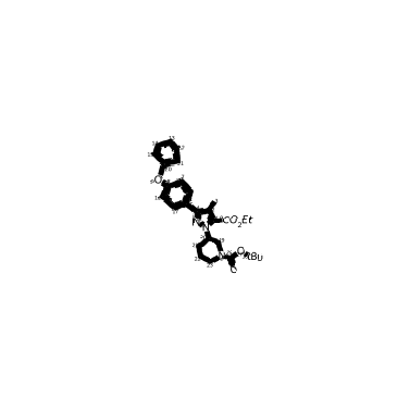 CCOC(=O)c1c(C)c(-c2ccc(Oc3ccccc3)cc2)nn1C1CCCN(C(=O)OC(C)(C)C)C1